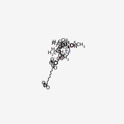 C=CC[C@H]1C(=O)C(C)(C)[C@@H](O[Si](C)(C)C(C)(C)C)CC(=O)O[C@H](c2ccc3sc(C)nc3c2)C/C=C(\C)CCC[C@H](C)[C@@H]1OC(=O)OCc1ccc(OC(=O)CCCCCCCCCCN2C(=O)C=CC2=O)c([N+](=O)[O-])c1